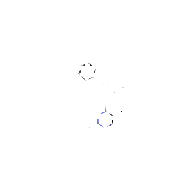 COc1cccc(OC[C@@H]2COC[C@H]2Nc2nc(Cl)ncc2C(F)(F)F)c1[N+](=O)[O-]